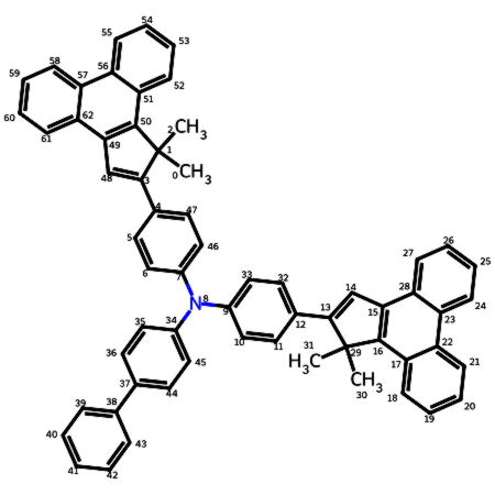 CC1(C)C(c2ccc(N(c3ccc(C4=Cc5c(c6ccccc6c6ccccc56)C4(C)C)cc3)c3ccc(-c4ccccc4)cc3)cc2)=Cc2c1c1ccccc1c1ccccc21